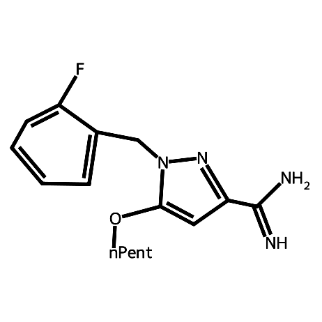 CCCCCOc1cc(C(=N)N)nn1Cc1ccccc1F